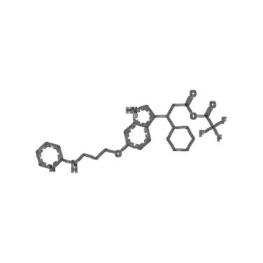 O=C(CC(c1c[nH]c2cc(OCCCNc3ccccn3)ccc12)C1CCCCC1)OC(=O)C(F)(F)F